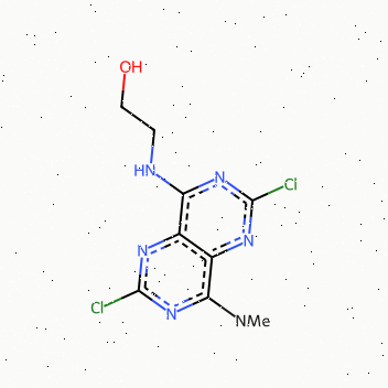 CNc1nc(Cl)nc2c(NCCO)nc(Cl)nc12